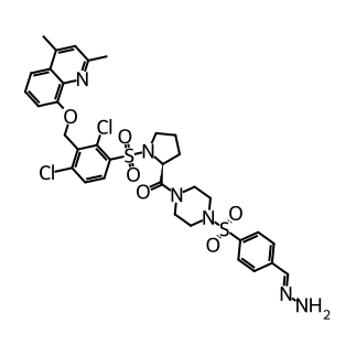 Cc1cc(C)c2cccc(OCc3c(Cl)ccc(S(=O)(=O)N4CCC[C@H]4C(=O)N4CCN(S(=O)(=O)c5ccc(C=NN)cc5)CC4)c3Cl)c2n1